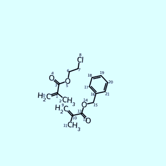 C=C(C)C(=O)OCCCl.C=C(C)C(=O)OCc1ccccc1